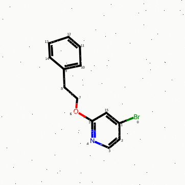 Brc1ccnc(OCCc2ccccc2)c1